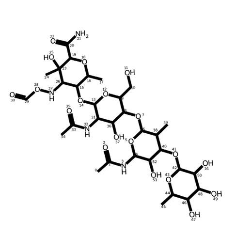 CC(=O)NC1OC(OC2C(CO)OC(OC3C(C)OC(C(N)=O)C(C)(O)C3NOC=O)C(NC(C)=O)C2O)C(C)C(OC2OC(C)C(O)C(O)C2O)C1O